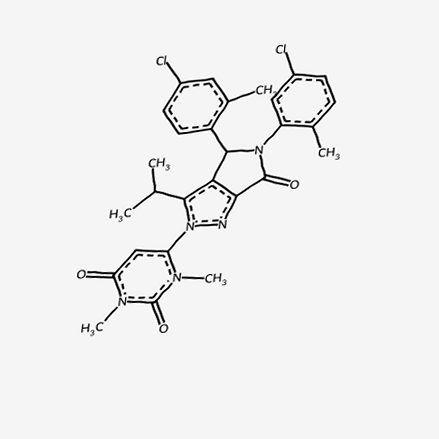 Cc1cc(Cl)ccc1C1c2c(nn(-c3cc(=O)n(C)c(=O)n3C)c2C(C)C)C(=O)N1c1cc(Cl)ccc1C